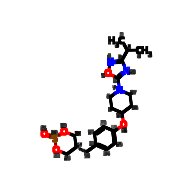 CC(C)c1noc(N2CCC(Oc3ccc(C[C@H]4CO[S@](=O)OC4)cc3)CC2)n1